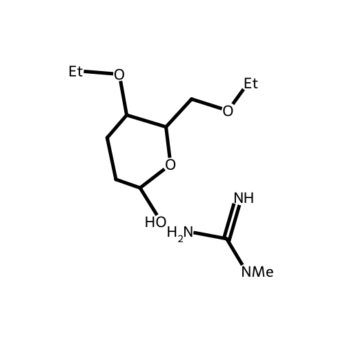 CCOCC1OC(O)CCC1OCC.CNC(=N)N